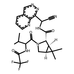 CC(C)C(NC(=O)C(F)(F)F)C(=O)N1C[C@H]2[C@@H]([C@H]1C(=O)NC(C#N)c1nncc3cccnc13)C2(C)C